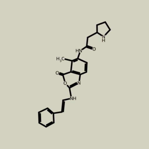 Cc1c(NC(=O)CC2CCCN2)ccc2nc(NC=Cc3ccccc3)oc(=O)c12